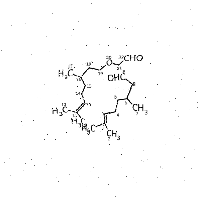 CC(C)=CCCC(C)CC=O.CC(C)=CCCC(C)CCOCC=O